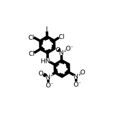 O=[N+]([O-])c1cc([N+](=O)[O-])c(Nc2cc(Cl)c(I)c(Cl)c2Cl)c([N+](=O)[O-])c1